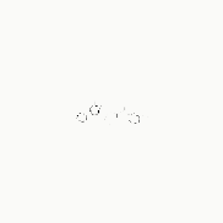 Cn1c(N2CCOC(C(=O)c3cccc(Cl)c3)C2)nc(-c2ccncc2)cc1=O